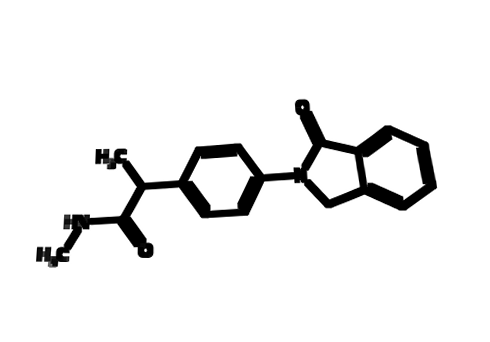 CNC(=O)C(C)c1ccc(N2Cc3ccccc3C2=O)cc1